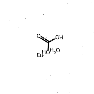 O.O=C(O)O.[Eu]